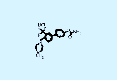 CN1CCN(Cc2ccc(-c3ccc(OC(N)=O)cc3)cc2C(F)(F)F)CC1.Cl